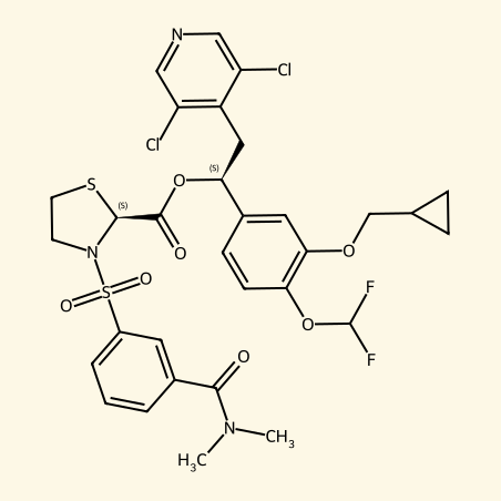 CN(C)C(=O)c1cccc(S(=O)(=O)N2CCS[C@H]2C(=O)O[C@@H](Cc2c(Cl)cncc2Cl)c2ccc(OC(F)F)c(OCC3CC3)c2)c1